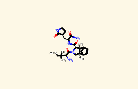 COCC(C)(C)[C@H](N)C(=O)N1C[C@H]2[C@@H]([C@H]1C(=O)N[C@@H](C[C@@H]1CCNC1=O)C(N)=O)[C@H]1C=C[C@@H]2C1